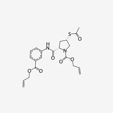 C=CCOC(=O)c1cccc(NC(=O)[C@@H]2C[C@H](SC(C)=O)CN2C(=O)OCC=C)c1